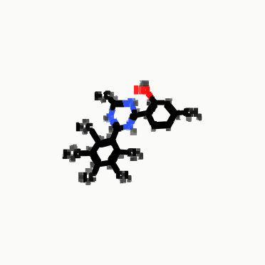 Cc1ccc(-c2nc(C)nc(-c3c(C)c(C)c(C)c(C)c3C)n2)c(O)c1